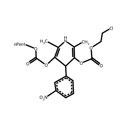 CCCCCOC(=O)OC1=C(C)NC(C)=C(OC(=O)OCCCl)C1c1cccc([N+](=O)[O-])c1